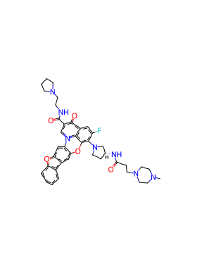 CN1CCN(CCC(=O)N[C@@H]2CCN(c3c(F)cc4c(=O)c(C(=O)NCCN5CCCC5)cn5c4c3Oc3cc4c(cc3-5)oc3ccccc34)C2)CC1